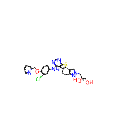 OC[C@@H](O)Cn1cc2c(n1)CCc1c-2sc2ncnc(Nc3ccc(OCc4ccccn4)c(Cl)c3)c12